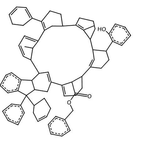 CC1=C2CCCC1C1C=C(CCC1c1ccccc1O)C1CCC=C(C3=CC(C4C=CC=C(C5=C(C6=CC=CCC6)CCC2C5)C4C)C2c4ccccc4C(c4ccccc4)(C4CC=CCC4)C2C3)C1C(=O)OCc1ccccc1